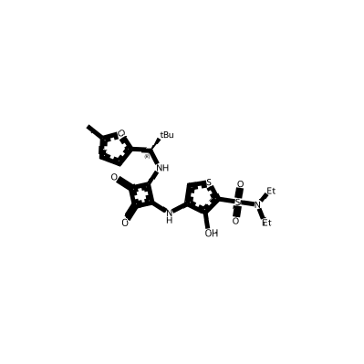 CCN(CC)S(=O)(=O)c1scc(Nc2c(N[C@@H](c3ccc(C)o3)C(C)(C)C)c(=O)c2=O)c1O